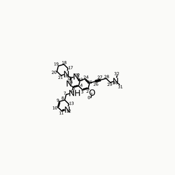 COc1cc2c(NCC3C=CC=NC3)nc(N3CCCCC3)nc2cc1C#CCCN(C)C